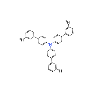 [3H]c1cccc(-c2ccc(N(c3ccc(-c4cccc([3H])c4)cc3)c3ccc(-c4cccc([3H])c4)cc3)cc2)c1